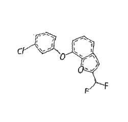 FC(F)c1cc2cccc(Oc3cc[c]c(Cl)c3)c2o1